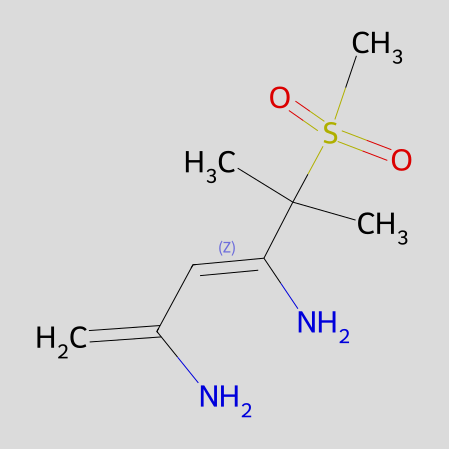 C=C(N)/C=C(\N)C(C)(C)S(C)(=O)=O